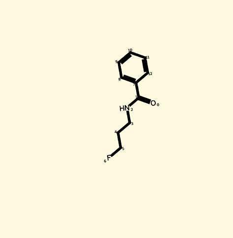 O=C(NCCCF)c1ccccc1